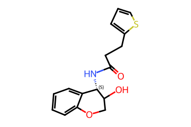 O=C(CCc1cccs1)N[C@H]1c2ccccc2OCC1O